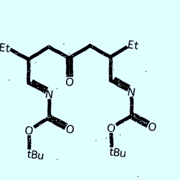 CCC(C=NC(=O)OC(C)(C)C)CC(=O)CC(C=NC(=O)OC(C)(C)C)CC